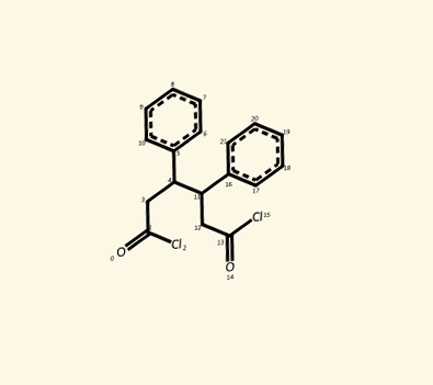 O=C(Cl)CC(c1ccccc1)C(CC(=O)Cl)c1ccccc1